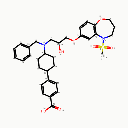 CS(=O)(=O)N1CCCOc2ccc(OC[C@@H](O)CN(Cc3ccccc3)C3CCC(c4ccc(C(=O)O)cc4)CC3)cc21